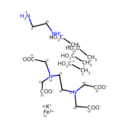 CC(=O)O.CC(=O)O.CC(=O)O.CC(=O)O.NCCN.O=C([O-])CN(CCN(CC(=O)[O-])CC(=O)[O-])CC(=O)[O-].[Fe+3].[K+]